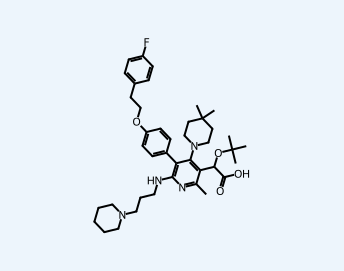 Cc1nc(NCCCN2CCCCC2)c(-c2ccc(OCCc3ccc(F)cc3)cc2)c(N2CCC(C)(C)CC2)c1C(OC(C)(C)C)C(=O)O